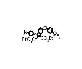 CCOC(=O)Cc1c(C(=O)OCC)c2cc(Oc3ccc(OC(F)(F)F)cc3)ccc2n1-c1ccc(N(C)C)cc1